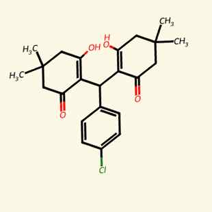 CC1(C)CC(=O)C(C(C2=C(O)CC(C)(C)CC2=O)c2ccc(Cl)cc2)=C(O)C1